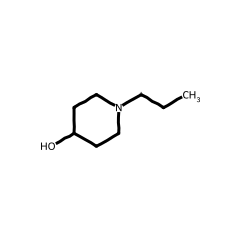 CC[CH]N1CCC(O)CC1